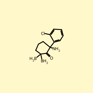 BC1(B)CCCC(N)(c2ccccc2Cl)C1=O